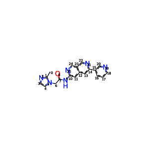 Cc1nccn1CC(=O)Nc1cc2cc(-c3cccnc3)ncc2cn1